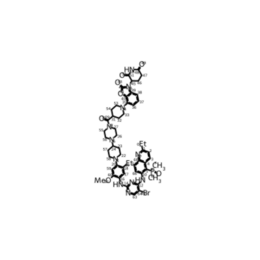 CCc1ccc2c(P(C)(C)=O)c(Nc3nc(Nc4cc(CC)c(N5CCC(N6CCN(C(=O)C7CCN(c8cccc9c8oc(=O)n9C8CCC(=O)NC8=O)CC7)CC6)CC5)cc4OC)ncc3Br)ccc2n1